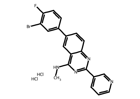 CNc1nc(-c2cccnc2)nc2ccc(-c3ccc(F)c(Br)c3)cc12.Cl.Cl